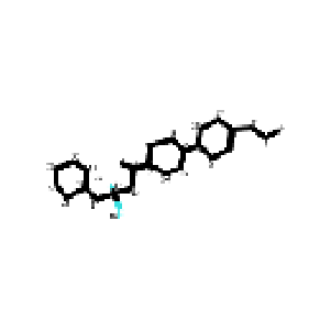 CCCC1CCC(C2CCC(C(C)CC(F)(F)CC3CCCCC3)CC2)CC1